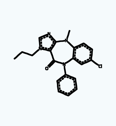 CCCn1cnc2c1C(=O)N(c1ccccc1)c1cc(Cl)ccc1N2C